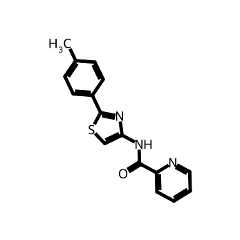 Cc1ccc(-c2nc(NC(=O)c3ccccn3)cs2)cc1